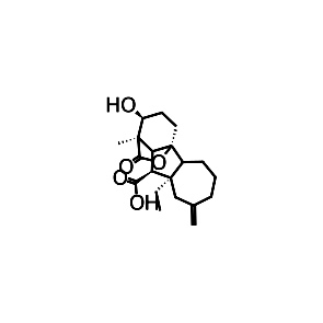 C=C1CCCC2[C@@]34CC[C@H](O)[C@](C)(C(=O)O3)C4[C@H](C(=O)O)[C@]2(CC)C1